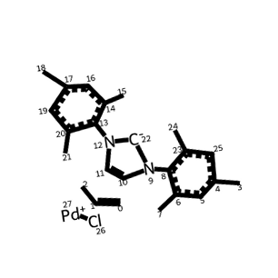 C=CC.Cc1cc(C)c(N2C=CN(c3c(C)cc(C)cc3C)[CH-]2)c(C)c1.[Cl][Pd+]